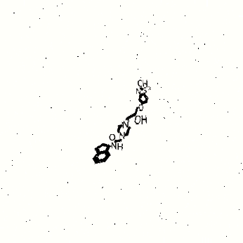 Cc1nc2cc(OC[C@H](O)CN3CCN(CC(=O)N[C@H]4CCc5ccccc54)CC3)ccc2s1